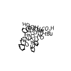 CC(O[C@@H](C[C@H](Cc1ccc(-c2ccccn2)cc1)NC(=O)[C@@H](NC(=O)O)C(C)(C)C)[C@H](Cc1ccccc1)NC(=O)[C@@H](N1CCN(Cc2ccccc2)C1=O)C(C)(C)C)OP(=O)(O)O